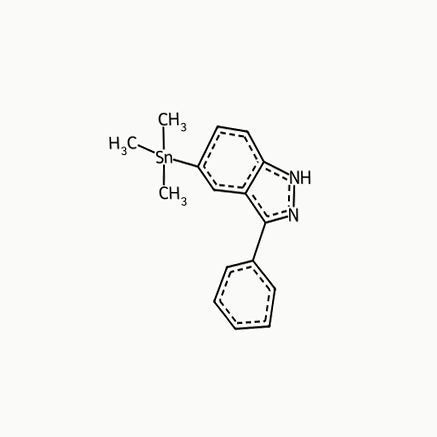 [CH3][Sn]([CH3])([CH3])[c]1ccc2[nH]nc(-c3ccccc3)c2c1